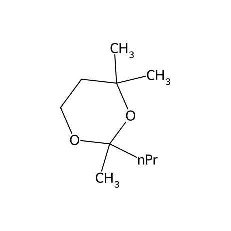 CCCC1(C)OCCC(C)(C)O1